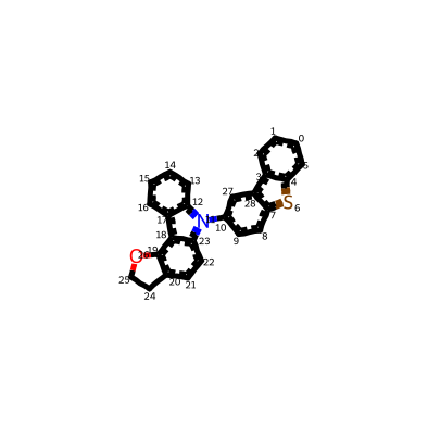 c1ccc2c(c1)sc1ccc(-n3c4ccccc4c4c5c(ccc43)CCO5)cc12